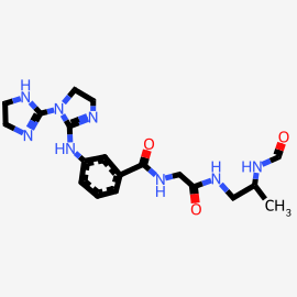 CC(CNC(=O)CNC(=O)c1cccc(NC2=NCCN2C2=NCCN2)c1)NC=O